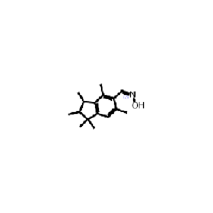 Cc1cc2c(c(C)c1/C=N\O)C(C)C(C)C2(C)C